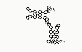 Cc1nc2ccc(-c3cccc4c(-c5c6cccc(-c7ccc8ccccc8c7)c6cc6c(-c7ccc8ccccc8c7)cccc56)c5cccc(-c6ccc7nc(Cc8ccc9cc(-c%10cccc%11c(-c%12c%13cccc(-n%14c(C)nc%15ccccc%15%14)c%13cc%13c(-n%14c(C)nc%15ccccc%15%14)cccc%12%13)c%12cccc(-c%13ccc%14ccccc%14c%13)c%12cc%10%11)ccc9c8)n(C)c7c6)c5cc34)cc2n1C